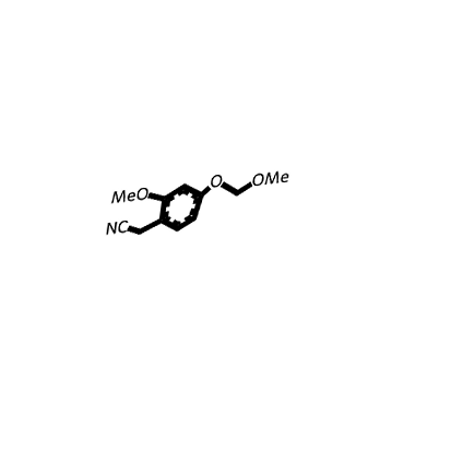 COCOc1ccc(CC#N)c(OC)c1